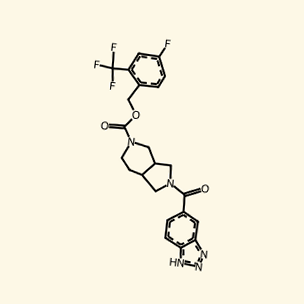 O=C(OCc1ccc(F)cc1C(F)(F)F)N1CCC2CN(C(=O)c3ccc4[nH]nnc4c3)CC2C1